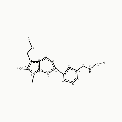 CC(C)CCn1c(=O)n(C)c2nc(-c3cccc(CNC(=O)O)c3)ccc21